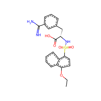 CCOc1ccc(S(=O)(=O)N[C@@H](Cc2cccc(C(=N)N)c2)C(=O)O)c2ccccc12